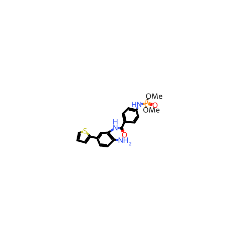 COP(=O)(Nc1ccc(C(=O)Nc2cc(-c3cccs3)ccc2N)cc1)OC